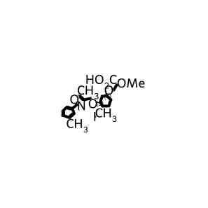 CI.COC(CO[C@@H]1CCC[C@H](OCc2nc(-c3cccc(C)c3)oc2C)C1)C(=O)O